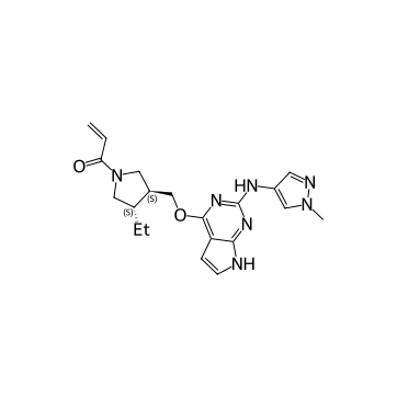 C=CC(=O)N1C[C@@H](CC)[C@H](COc2nc(Nc3cnn(C)c3)nc3[nH]ccc23)C1